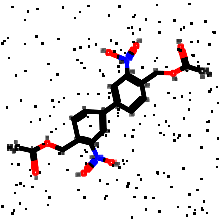 CC(=O)OCc1ccc(-c2ccc(COC(C)=O)c([N+](=O)[O-])c2)cc1[N+](=O)[O-]